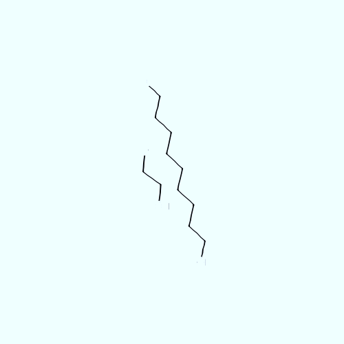 OCCCCCCCCCO.OCCO